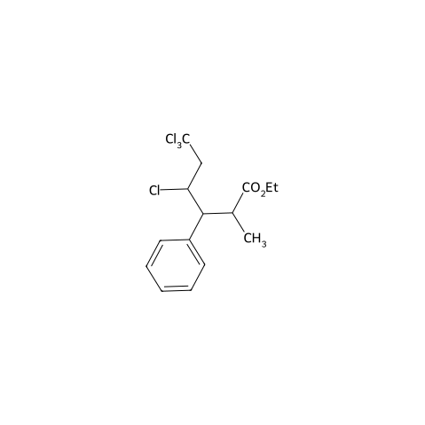 CCOC(=O)C(C)C(c1ccccc1)C(Cl)CC(Cl)(Cl)Cl